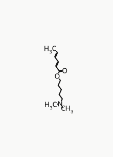 CC=CC=CC(=O)OCCCCCN(C)C